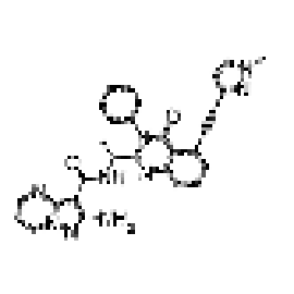 C[C@H](NC(=O)c1c(N)nn2cccnc12)c1nc2cccc(C#Cc3ccn(C)n3)c2c(=O)n1-c1ccccc1